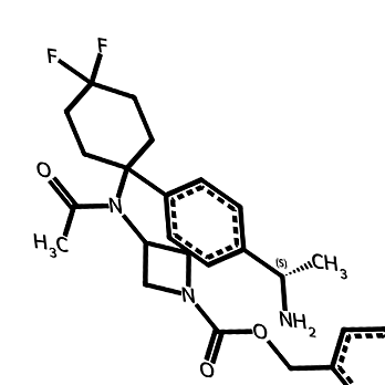 CC(=O)N(C1CN(C(=O)OCc2ccccc2)C1)C1(c2ccc([C@H](C)N)cc2)CCC(F)(F)CC1